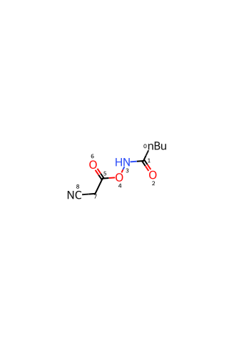 CCCCC(=O)NOC(=O)CC#N